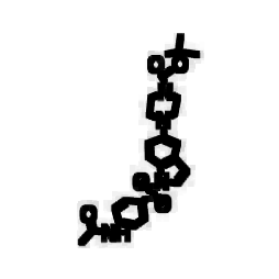 CC(=O)Nc1ccc(S(=O)(=O)n2ccc3cc(N4CCN(C(=O)OC(C)(C)C)CC4)ccc32)cc1